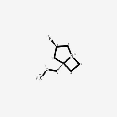 COC[C@@]12CCN1C[C@H](F)C2